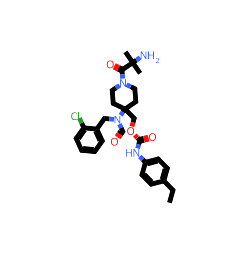 CCc1ccc(NC(=O)OCC2(N(C=O)Cc3ccccc3Cl)CCN(C(=O)C(C)(C)N)CC2)cc1